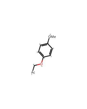 COc1ccc(OCC(C)=O)cc1